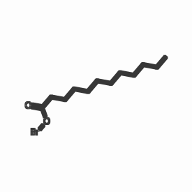 CCCCCCCCCCCC(=O)OBr